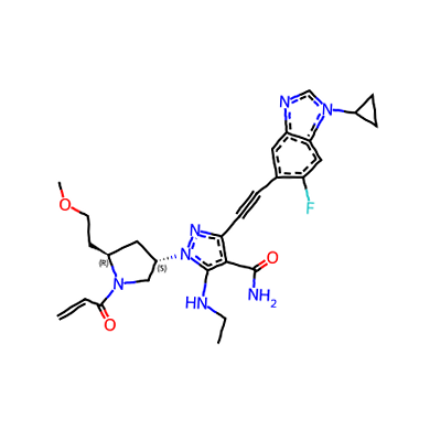 C=CC(=O)N1C[C@@H](n2nc(C#Cc3cc4ncn(C5CC5)c4cc3F)c(C(N)=O)c2NCC)C[C@@H]1CCOC